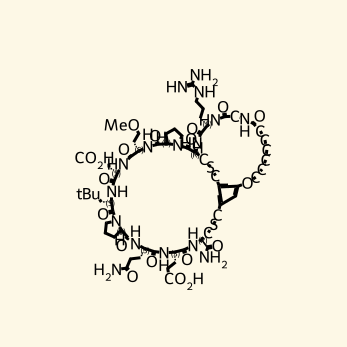 COCC[C@@H]1NC(=O)[C@@H]2CCCN2C(=O)[C@@H]2CSCc3cc(cc(c3)OCCCCCCC(=O)NCC(=O)N[C@@H](CCCNC(=N)N)C(=O)N2)CSC[C@@H](C(N)=O)NC(=O)[C@H](CCC(=O)O)NC(=O)[C@H](CCC(N)=O)NC(=O)[C@@H]2CCCN2C(=O)[C@H](CC(C)(C)C)NC(=O)[C@H](CC(=O)O)NC1=O